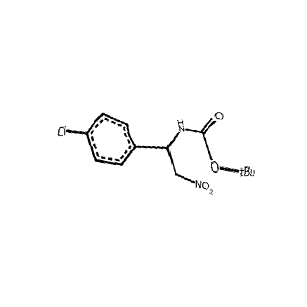 CC(C)(C)OC(=O)NC(C[N+](=O)[O-])c1ccc(Cl)cc1